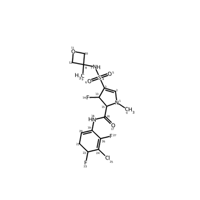 CN1C=C(S(=O)(=O)NC2(C)COC2)C(F)C1C(=O)NC1=CCC(F)C(Cl)=C1F